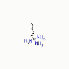 CC=CC=CC(N)(N)N